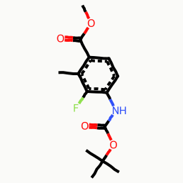 COC(=O)c1ccc(NC(=O)OC(C)(C)C)c(F)c1C